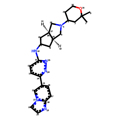 CC1(C)CC(N2C[C@H]3CC(Nc4ccc(-c5ccc6nccn6c5)nn4)C[C@H]3C2)CCO1